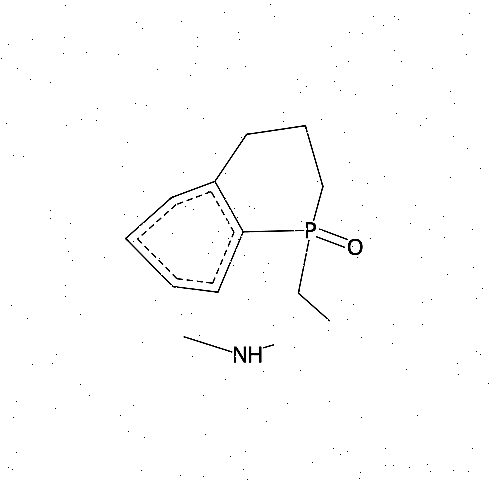 CCP1(=O)CCCc2ccccc21.CNC